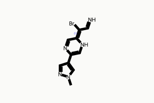 Cn1cc(C2=CN/C(=C(/Br)C=N)C=N2)cn1